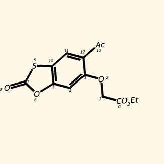 CCOC(=O)COc1cc2oc(=O)sc2cc1C(C)=O